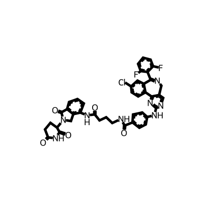 O=C1CCC(N2Cc3c(NC(=O)CCCNC(=O)c4ccc(Nc5ncc6c(n5)-c5ccc(Cl)cc5C(c5c(F)cccc5F)=NC6)cc4)cccc3C2=O)C(=O)N1